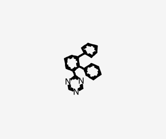 c1ccc(-c2cccc(-c3ncncn3)c2-c2ccccc2)cc1